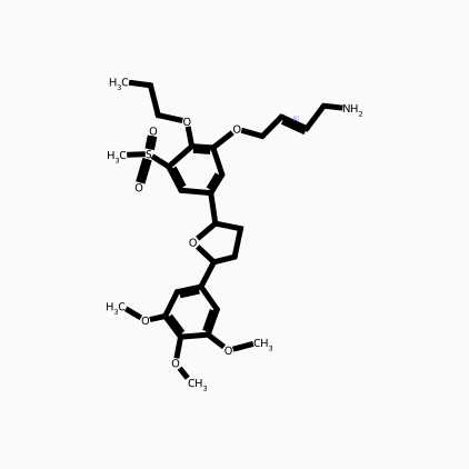 CCCOc1c(OC/C=C/CN)cc(C2CCC(c3cc(OC)c(OC)c(OC)c3)O2)cc1S(C)(=O)=O